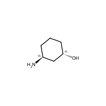 N[C@H]1CCC[C@H](O)C1